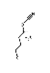 CCCCNOC#N.S